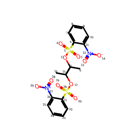 CC(OS(=O)(=O)c1ccccc1[N+](=O)[O-])C(C)OS(=O)(=O)c1ccccc1[N+](=O)[O-]